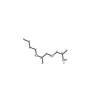 CCCCOC(C)COCC(C)O